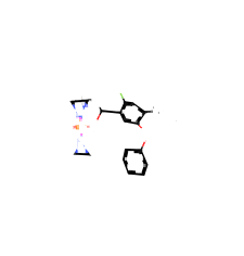 CC(OP(=O)(N1CC1)N1CC1)c1cc(Oc2ccccc2)c([N+](=O)[O-])cc1F